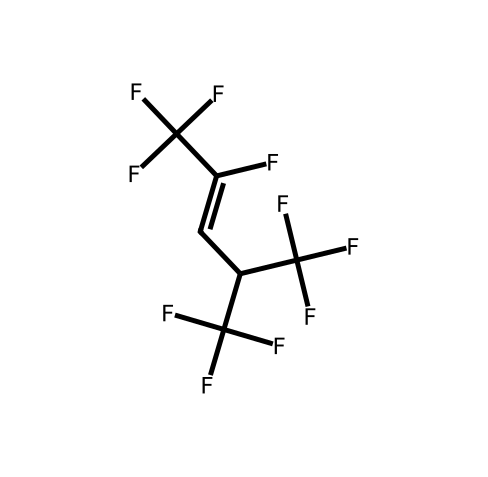 FC(=CC(C(F)(F)F)C(F)(F)F)C(F)(F)F